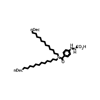 CCCCCCCCCCCCCCCCCCCCCCN(CCCCCCCCCCCCCCCCCCCCCC)C(=O)c1ccc(NNC(=O)O)cc1